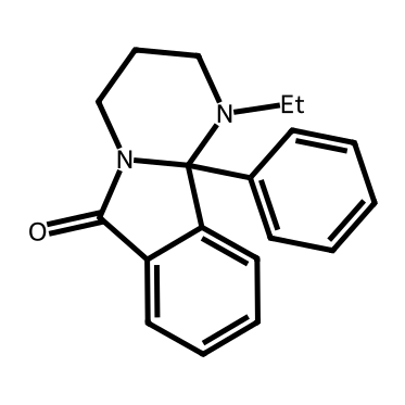 CCN1CCCN2C(=O)c3ccccc3C12c1ccccc1